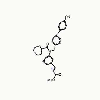 COC(=O)/C=C/c1cccc(N(Cc2ccc(-c3ccc(O)cc3)cc2)C(=O)C2CCCCC2)c1